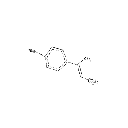 CCOC(=O)/C=C(\C)c1ccc(C(C)(C)C)cc1